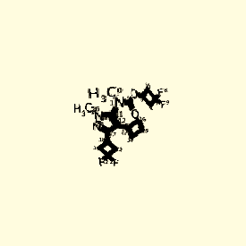 CN(C(=O)OC1CC(F)(F)C1)c1c(C2CCC2)c(C2CC(F)(F)C2)nn1C